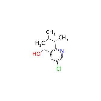 CC(C)[C@H](C)c1ncc(Cl)cc1CO